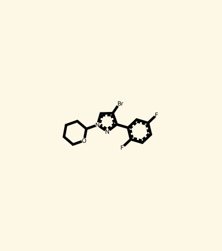 Fc1ccc(F)c(-c2nn(C3CCCCO3)cc2Br)c1